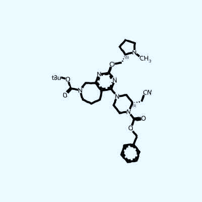 CN1CCC[C@H]1COc1nc2c(c(N3CCN(C(=O)OCc4ccccc4)[C@@H](CC#N)C3)n1)CCCN(C(=O)OC(C)(C)C)C2